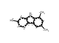 Cc1cc(C)c2[nH]c3nc(S)nnc3c2c1